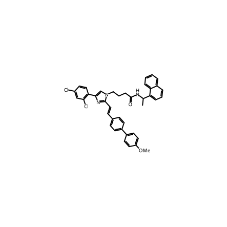 COc1ccc(-c2ccc(/C=C/c3nc(-c4ccc(Cl)cc4Cl)cn3CCCC(=O)NC(C)c3cccc4ccccc34)cc2)cc1